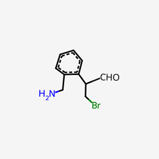 NCc1ccccc1C(C=O)CBr